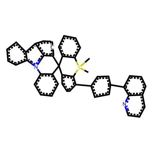 CS1(C)c2ccccc2C2(c3ccccc3-n3c4ccccc4c4cccc2c43)c2cccc(-c3ccc(-c4cccc5cccnc45)cc3)c21